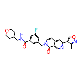 Cc1nocc1-c1cc2ccn(Cc3cc(F)cc(C(=O)NCC4CCOCC4)c3)c(=O)c2cn1